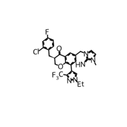 CCn1cc(-c2cc(Cn3ccn(C)c3=N)cc3c2OC[C@@H](Cc2ccc(F)cc2Cl)C3=O)c(C(F)(F)F)n1